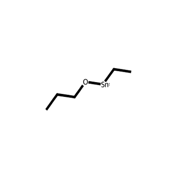 CCC[O][Sn][CH2]C